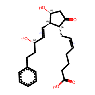 O=C(O)CCC/C=C\C[C@H]1C(=O)C[C@@H](O)[C@@H]1/C=C/[C@@H](O)CCc1ccccc1